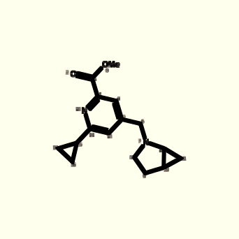 COC(=O)c1cc(CN2CCC3CC32)cc(C2CC2)n1